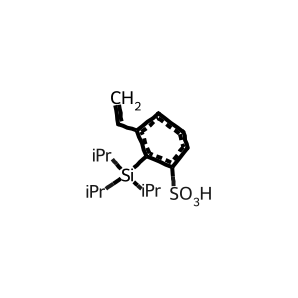 C=Cc1cccc(S(=O)(=O)O)c1[Si](C(C)C)(C(C)C)C(C)C